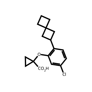 O=C(O)C1(Oc2cc(Cl)ccc2C2CC3(CCC3)C2)CC1